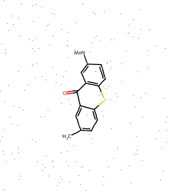 CNc1ccc2sc3ccc(C)cc3c(=O)c2c1